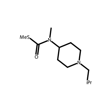 CSC(=O)N(C)C1CCN(CC(C)C)CC1